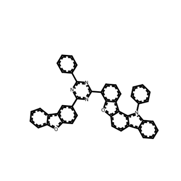 c1ccc(-c2nc(-c3ccc4oc5ccccc5c4c3)nc(-c3cccc4c3oc3ccc5c6ccccc6n(-c6ccccc6)c5c34)n2)cc1